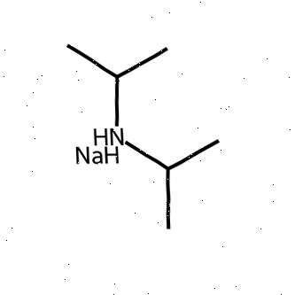 CC(C)NC(C)C.[NaH]